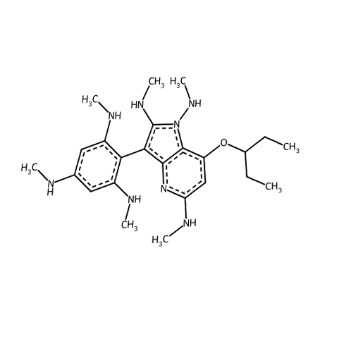 CCC(CC)Oc1cc(NC)nc2c(-c3c(NC)cc(NC)cc3NC)c(NC)n(NC)c12